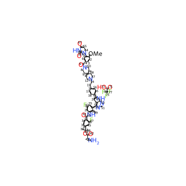 COc1ccc(C(=O)N2CCC3(CCN(CCc4ccc(-c5cc6c(-c7cc(F)cc(NC(=O)c8ccc(C(C)(C)OC(=O)CN)cc8F)c7C)ncnc6[nH]5)cc4)CC3)CC2)cc1N1CCC(=O)NC1=O.O=C(O)C(F)(F)F